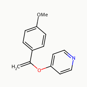 C=C(Oc1ccncc1)c1ccc(OC)cc1